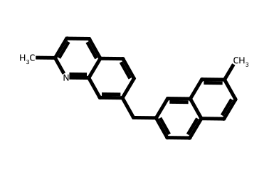 Cc1ccc2ccc(Cc3ccc4ccc(C)nc4c3)cc2c1